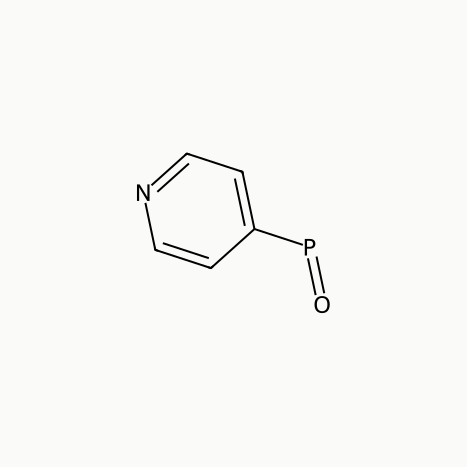 O=Pc1ccncc1